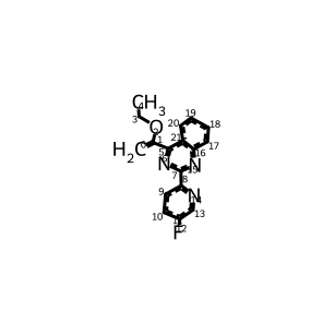 C=C(OCC)c1nc(-c2ccc(F)cn2)nc2ccccc12